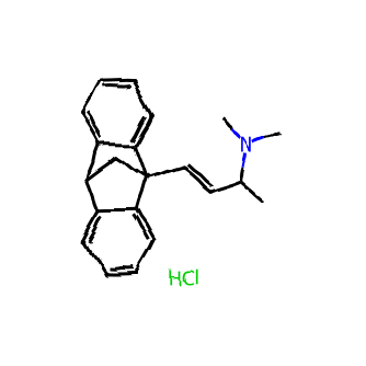 CC(C=CC12CC(c3ccccc31)c1ccccc12)N(C)C.Cl